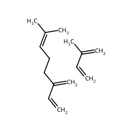 C=CC(=C)C.C=CC(=C)CCC=C(C)C